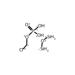 O=P(O)(O)OCCl.[SiH3]O[SiH3]